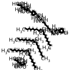 CCCCCCCCCC[N+](C)(C)CCCCCCCCCC.CCCCCCCCCC[N+](C)(C)CCCCCCCCCC.CCCCCCCCCC[N+](C)(C)CCCCCCCCCC.N=C(NCCCCCCNC(=N)NC(=N)Nc1ccc(Cl)cc1)NC(=N)Nc1ccc(Cl)cc1.O=C([O-])[C@H](O)[C@@H](O)[C@H](O)[C@H](O)CO.O=C([O-])[C@H](O)[C@@H](O)[C@H](O)[C@H](O)CO.[Cl-]